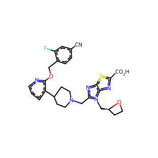 N#Cc1ccc(COc2ncccc2C2CCN(Cc3nc4sc(C(=O)O)nc4n3C[C@@H]3CCO3)CC2)c(F)c1